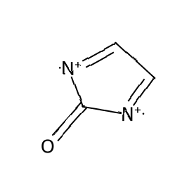 O=C1[N+]=CC=[N+]1